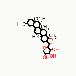 CC1CCC2(C(=O)O)CCC3C(=CCC4C3(C)CCC3C4(C)CCC(CC4OCC(O)C(O)C4O)[C@@]3(C)O)C2C1